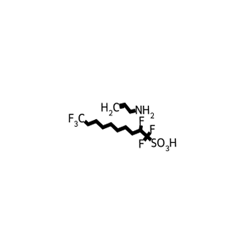 C=CCN.O=S(=O)(O)C(F)(F)C(F)CCCCCCCC(F)(F)F